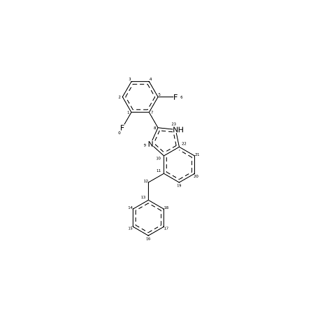 Fc1cccc(F)c1-c1nc2c(Cc3ccccc3)cccc2[nH]1